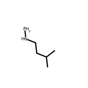 CC(C)CCNP